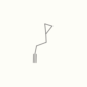 C#CCCC1[CH]C1